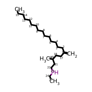 C=C(CCCCCCCCCCCCCCC)CCC(C)CCPCC